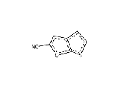 N#Cc1cc2ccsc2o1